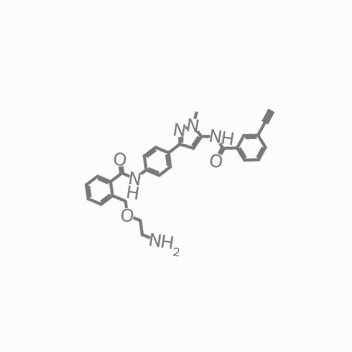 C#Cc1cccc(C(=O)Nc2cc(-c3ccc(NC(=O)c4ccccc4COCCN)cc3)nn2C)c1